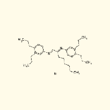 CCCCCCC(/C=N/c1ccc(CCC)c(CCC)c1)=N\c1ccc(CCC)c(CCC)c1.[Ni]